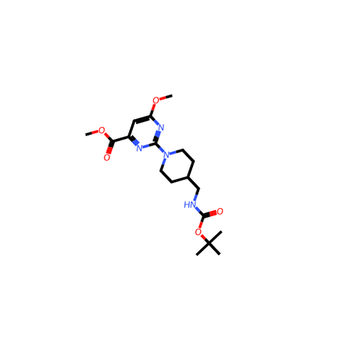 COC(=O)c1cc(OC)nc(N2CCC(CNC(=O)OC(C)(C)C)CC2)n1